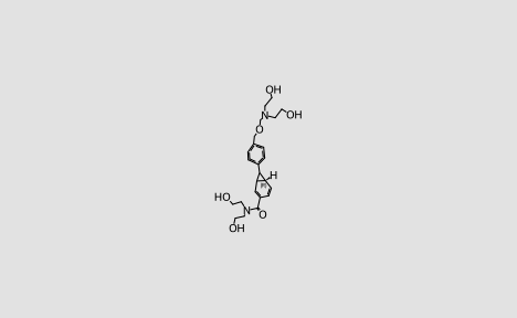 O=C(C1=CC2C(c3ccc(COCN(CCO)CCO)cc3)[C@@H]2C=C1)N(CCO)CCO